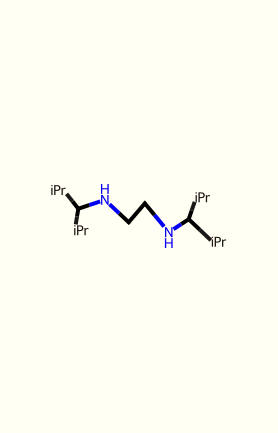 CC(C)C(NCCNC(C(C)C)C(C)C)C(C)C